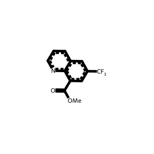 COC(=O)c1cc(C(F)(F)F)cc2cccnc12